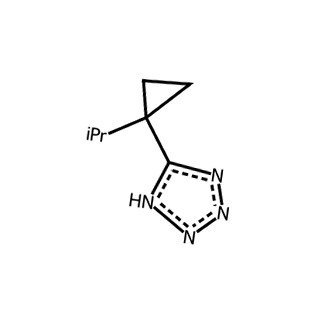 CC(C)C1(c2nnn[nH]2)CC1